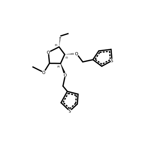 CC[C@H]1OC(OC)[C@H](OCc2ccsc2)[C@H]1OCc1ccsc1